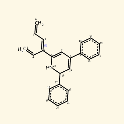 C=C/C=C(\C=C)C1=CC(c2ccccc2)=CC(c2ccccc2)N1